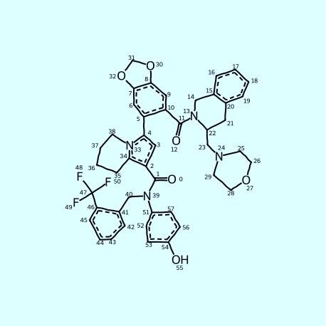 O=C(c1cc(-c2cc3c(cc2C(=O)N2Cc4ccccc4CC2CN2CCOCC2)OCO3)n2c1CCCC2)N(Cc1ccccc1C(F)(F)F)c1ccc(O)cc1